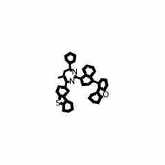 CC1=C(c2ccc3sc4ccccc4c3c2)N=C(c2ccc(-c3cccc4oc5ccccc5c34)c3ccccc23)N=C(c2ccccc2)C1